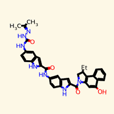 CCC1CN(C(=O)c2cc3cc(NC(=O)c4cc5cc(NC(=O)NN=C(C)C)ccc5[nH]4)ccc3[nH]2)c2cc(O)c3ccccc3c21